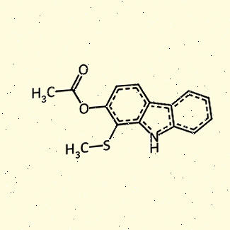 CSc1c(OC(C)=O)ccc2c1[nH]c1ccccc12